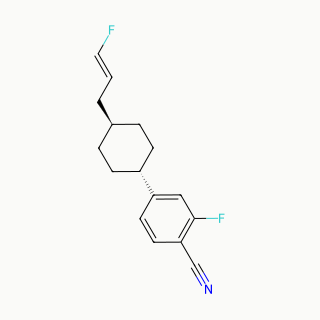 N#Cc1ccc([C@H]2CC[C@H](CC=CF)CC2)cc1F